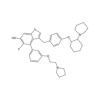 Oc1cc2scc(Cc3ccc(OC4CCCCC4N4CCCCC4)cc3)c2c(-c2cccc(OCCN3CCCC3)c2)c1F